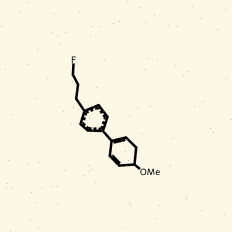 COC1C=CC(c2ccc(CCCF)cc2)=CC1